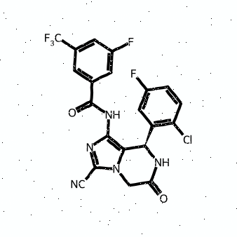 N#Cc1nc(NC(=O)c2cc(F)cc(C(F)(F)F)c2)c2n1CC(=O)N[C@@H]2c1cc(F)ccc1Cl